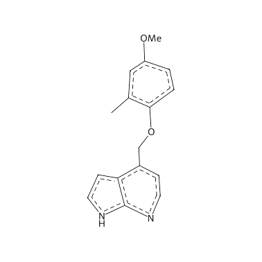 COc1ccc(OCc2ccnc3[nH]ccc23)c(C)c1